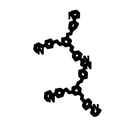 c1ccc(-c2ccc(CCc3cc(CCc4ccc(-c5ccccn5)cc4)cc(CCc4ccc(-c5cc(-c6ccc(CCc7cc(CCc8ccc(-c9ccccn9)cc8)cc(CCc8ccc(-c9ccccn9)cc8)c7)cc6)ncn5)cc4)c3)cc2)nc1